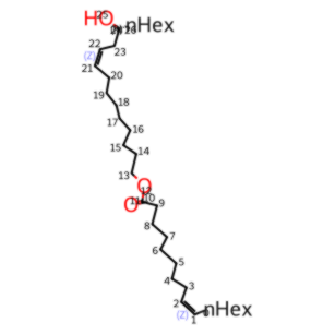 CCCCCC/C=C\CCCCCCCC(=O)OCCCCCCCC/C=C\C[C@H](O)CCCCCC